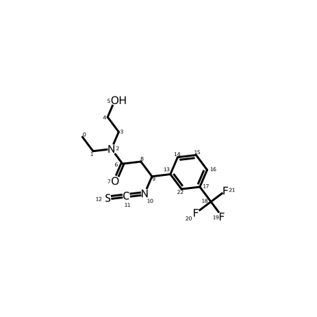 CCN(CCO)C(=O)CC(N=C=S)c1cccc(C(F)(F)F)c1